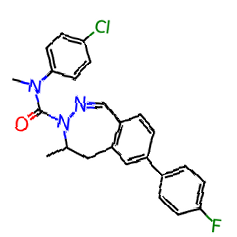 CC1Cc2cc(-c3ccc(F)cc3)ccc2C=NN1C(=O)N(C)c1ccc(Cl)cc1